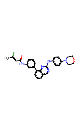 CC(F)=CC(=O)Nc1cccc(-c2cccc3cnc(Nc4ccc(N5CCOCC5)cc4)nc23)c1